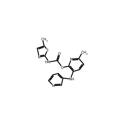 Cc1ccc(Nc2cccnc2)c(OC(=O)Nc2ncc(C)s2)n1